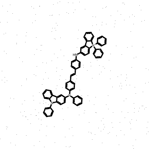 C(=Cc1ccc(N(c2ccccc2)c2ccc3c(c2)c2ccccc2n3-c2ccccc2)cc1)c1ccc(Nc2ccc3c(c2)-c2ccccc2[N+]3(c2ccccc2)c2ccccc2)cc1